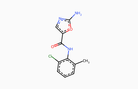 Cc1cccc(Cl)c1NC(=O)c1cnc(N)o1